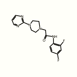 O=C(CN1CCN(c2ncccn2)CC1)Nc1ccc(F)cc1F